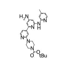 Cc1ccnc(Nc2cc(N)cc(-c3ccnc(N4CCN(C(=O)OC(C)(C)C)CC4)c3)n2)c1